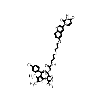 Cc1sc2c(c1C)C(c1ccc(Cl)cc1)=N[C@@H](CC(=O)NCCCOCCCOc1ccc3ncc(-n4ccc(=O)[nH]c4=O)cc3c1)c1nnc(C)n1-2